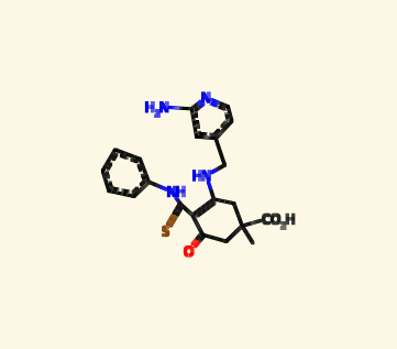 CC1(C(=O)O)CC(=O)C(C(=S)Nc2ccccc2)=C(NCc2ccnc(N)c2)C1